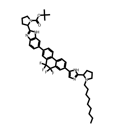 CCCCCCCCCN1CCCC1c1ncc(-c2ccc3c(c2)C(F)(F)C(F)(F)c2cc(-c4ccc5nc(C6CCCN6C(=O)OC(C)(C)C)[nH]c5c4)ccc2-3)[nH]1